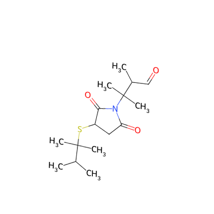 CC(C)C(C)(C)SC1CC(=O)N(C(C)(C)C(C)C=O)C1=O